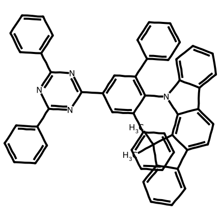 CC1(C)c2ccccc2-c2ccc3c4ccccc4n(-c4c(-c5ccccc5)cc(-c5nc(-c6ccccc6)nc(-c6ccccc6)n5)cc4-c4ccccc4)c3c21